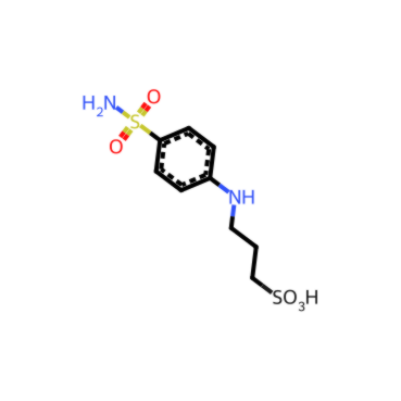 NS(=O)(=O)c1ccc(NCCCS(=O)(=O)O)cc1